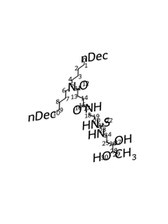 CCCCCCCCCCCCCCN(CCCCCCCCCCCCCC)C(=O)CCC(=O)NCCNC(=S)NCCC(O)C(C)O